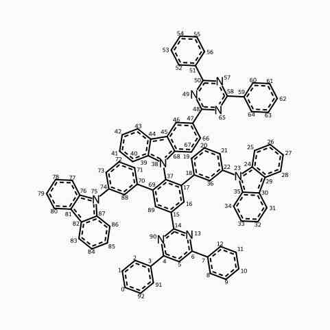 c1ccc(-c2cc(-c3ccccc3)nc(-c3cc(-c4cccc(-n5c6ccccc6c6ccccc65)c4)c(-n4c5ccccc5c5cc(-c6nc(-c7ccccc7)nc(-c7ccccc7)n6)ccc54)c(-c4cccc(-n5c6ccccc6c6ccccc65)c4)c3)n2)cc1